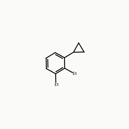 CCc1c[c]cc(C2CC2)c1CC